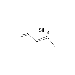 C=CC=CC.[SiH4]